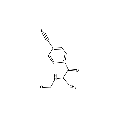 CC(N[C]=O)C(=O)c1ccc(C#N)cc1